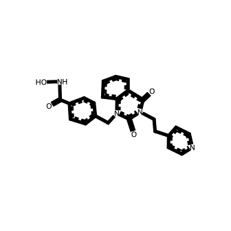 O=C(NO)c1ccc(Cn2c(=O)n(CCc3ccncc3)c(=O)c3ccccc32)cc1